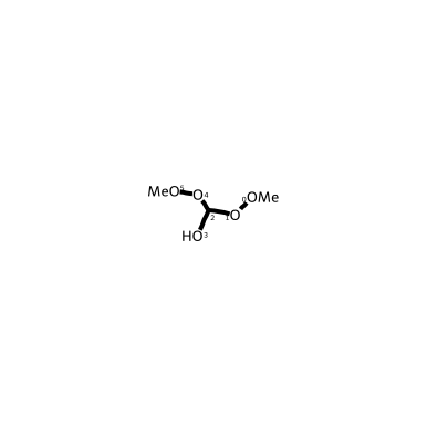 COOC(O)OOC